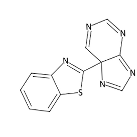 C1=NC=NC2=NC=NC12c1nc2ccccc2s1